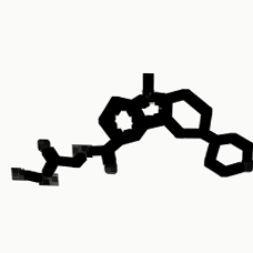 CCNC(=O)CNC(=O)c1ccc2c(c1)c1c(n2C)CCC(C2CCOCC2)C1